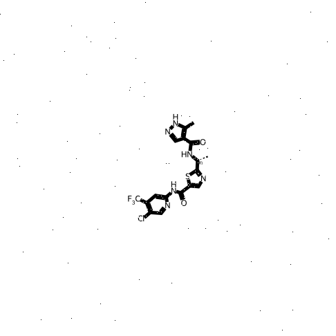 Cc1[nH]ncc1C(=O)N[C@H](C)c1ncc(C(=O)Nc2cc(C(F)(F)F)c(Cl)cn2)s1